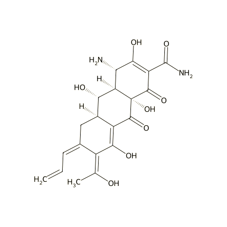 C=C/C=C1/C[C@@H]2C(=C(O)/C1=C(/C)O)C(=O)[C@]1(O)C(=O)C(C(N)=O)=C(O)[C@@H](N)[C@@H]1[C@H]2O